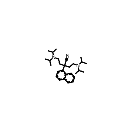 CC(C)N(CCC(C#N)(CCN(C(C)C)C(C)C)c1cccc2ccccc12)C(C)C